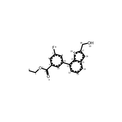 CCOC(=O)c1cc(F)cc(-c2cccc3cc(CO)sc23)c1